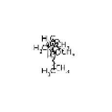 CCC1OC(OCCCCC(C)C)C(NC(C)=O)C(OC(C)=O)C1C